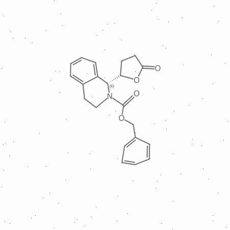 O=C1CCC([C@H]2c3ccccc3CCN2C(=O)OCc2ccccc2)O1